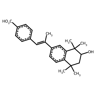 CC(=Cc1ccc(C(=O)O)cc1)c1ccc2c(c1)C(C)(C)C(O)CC2(C)C